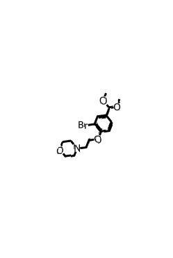 COC(OC)c1ccc(OCCN2CCOCC2)c(Br)c1